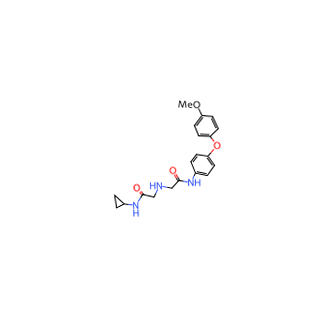 COc1ccc(Oc2ccc(NC(=O)CNCC(=O)NC3CC3)cc2)cc1